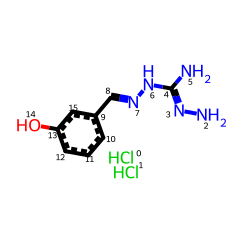 Cl.Cl.NN=C(N)NN=Cc1cccc(O)c1